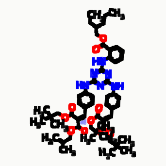 C=C(C)COC(=O)/C(=C/c1ccc(Nc2nc(Nc3ccc(C=C(C(=O)OCC(C)(C)C)C(=O)OCC(C)(C)C)cc3)nc(Nc3ccccc3C(=O)OCC(CC)CCC)n2)cc1)C(=O)OCC(C)(C)C